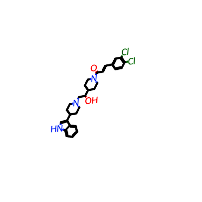 O=C(C=Cc1ccc(Cl)c(Cl)c1)N1CCC(C(O)CN2CCC(c3c[nH]c4ccccc34)CC2)CC1